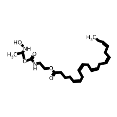 CC/C=C\C/C=C\C/C=C\C/C=C\C/C=C\CCCC(=O)OCCNC(=O)OC(C)NO